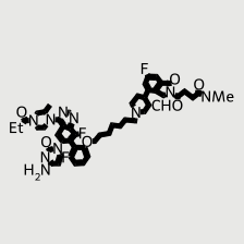 CCC(=O)N1CCN(c2ncnc3c(F)c(-c4c(F)cccc4OCCCCCCCN4CCC(c5cc(F)cc6c5CN(C(C=O)CCC(=O)NC)C6=O)CC4)c(-n4ccc(N)nc4=O)cc23)C(C)C1